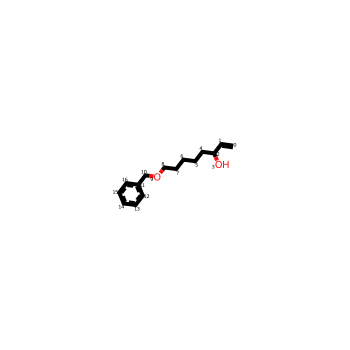 C=CC(O)CCCCCOCc1ccccc1